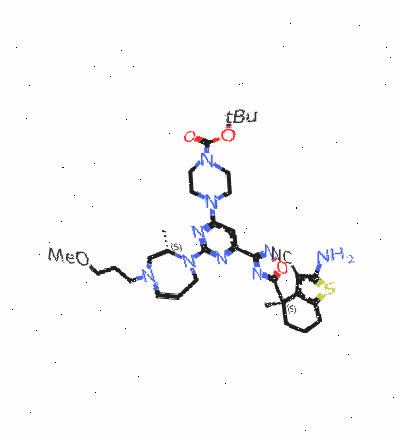 COCCCN1CCCN(c2nc(-c3noc([C@@]4(C)CCCc5sc(N)c(C#N)c54)n3)cc(N3CCN(C(=O)OC(C)(C)C)CC3)n2)[C@@H](C)C1